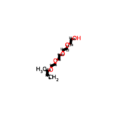 C=CC(C)OCCOCCOCCOCCO